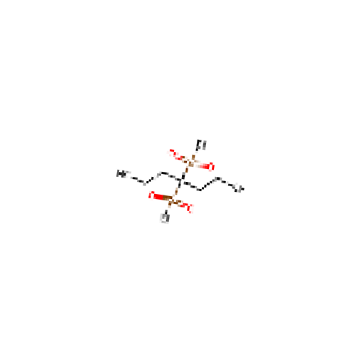 CCS(=O)(=O)C(CCC#N)(CCC#N)S(=O)(=O)CC